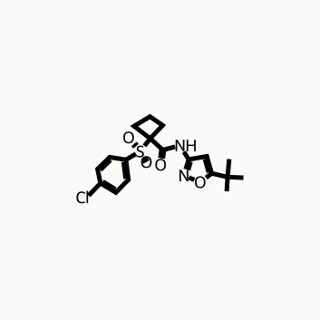 CC(C)(C)c1cc(NC(=O)C2(S(=O)(=O)c3ccc(Cl)cc3)CCC2)no1